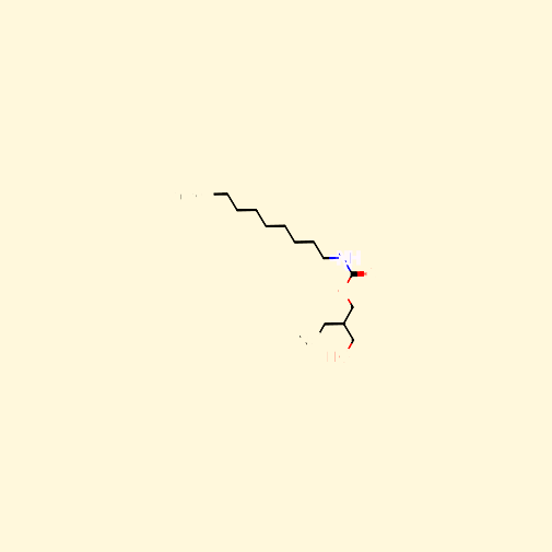 CCCCCCCCCCCCCCCCCCNC(=O)OCC(CO)CC#N